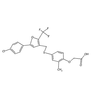 Cc1cc(SCc2cc(-c3ccc(Cl)cc3)oc2C(F)(F)F)ccc1OCC(=O)O